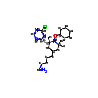 CC1(C)CC(CCCCN)CC(C)(C)N1OC1CCCCC1.Clc1ncncn1